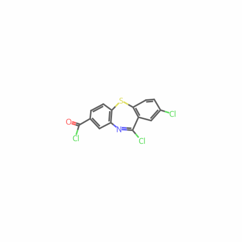 O=C(Cl)c1ccc2c(c1)N=C(Cl)c1cc(Cl)ccc1S2